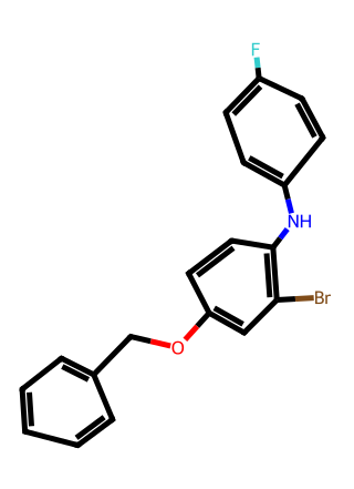 Fc1ccc(Nc2ccc(OCc3ccccc3)cc2Br)cc1